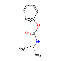 CCCCC(NC(=O)Oc1ccccc1)C(=O)O